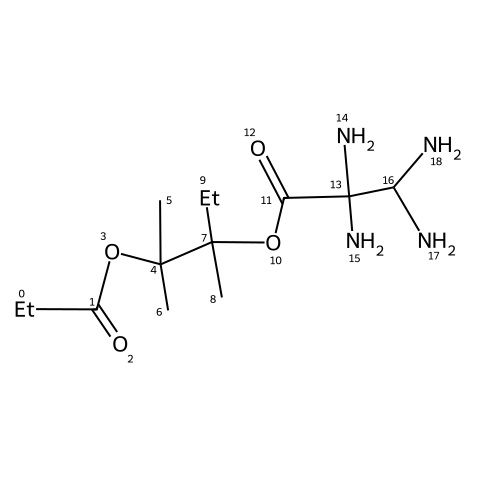 CCC(=O)OC(C)(C)C(C)(CC)OC(=O)C(N)(N)C(N)N